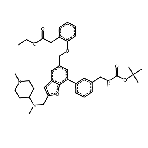 CCOC(=O)Cc1ccccc1OCc1cc(-c2cccc(CNC(=O)OC(C)(C)C)c2)c2oc(CN(C)C3CCN(C)CC3)cc2c1